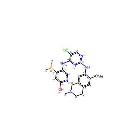 COc1cc2c(cc1Nc1ncc(Cl)c(Nc3cnc(O)cc3P(C)C)n1)CN(C)CC2